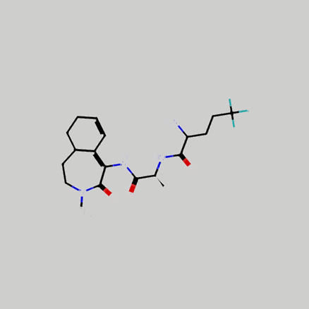 C[C@H](NC(=O)C(N)CCC(F)(F)F)C(=O)NC1=C2C=CCCC2CCN(C)C1=O